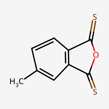 Cc1ccc2c(c1)C(=S)OC2=S